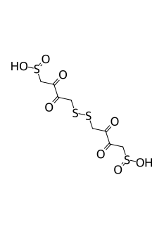 O=C(CSSCC(=O)C(=O)CS(=O)O)C(=O)CS(=O)O